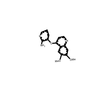 COc1cc2nccc(Oc3cccnc3N)c2cc1OC